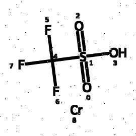 O=S(=O)(O)C(F)(F)F.[Cr]